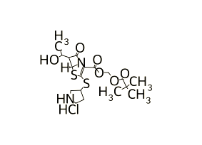 CC(O)C1C(=O)N2C(C(=O)OCOC(=O)C(C)(C)C)=C(SC3CCNC3)S[C@H]12.Cl